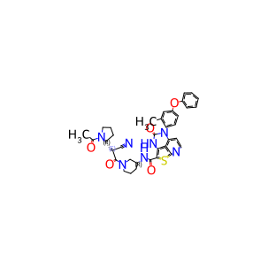 CC(=O)N1CCC[C@@H]1/C=C(\C#N)C(=O)N1CCC[C@@H](NC(=O)c2sc3nccc4c3c2NC(=O)N4c2ccc(Oc3ccccc3)cc2C)C1